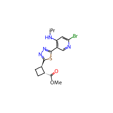 COC(=O)[C@@H]1CC[C@H]1c1nnc(-c2cnc(Br)cc2NC(C)C)s1